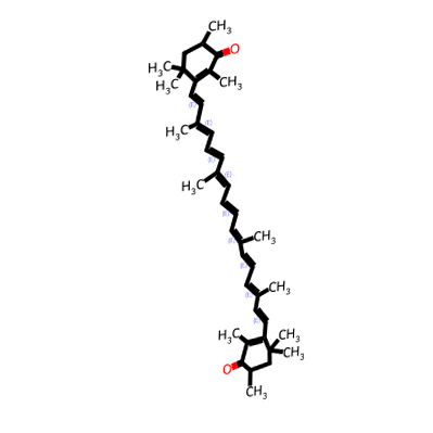 CC1=C(/C=C/C(C)=C/C=C/C(C)=C/C=C/C=C(C)/C=C/C=C(C)/C=C/C2=C(C)C(=O)C(C)CC2(C)C)C(C)(C)CC(C)C1=O